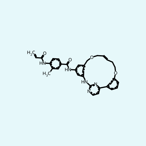 C=CC(=O)Nc1ccc(C(=O)Nc2cc3cc(c2)Nc2nccc(n2)-c2cccc(c2)OCC/C=C/COC3)cc1C